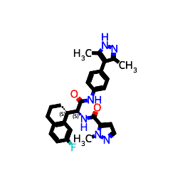 Cc1n[nH]c(C)c1-c1ccc(NC(=O)[C@@H](NC(=O)c2ccnn2C)[C@H]2CCCc3ccc(F)cc32)cc1